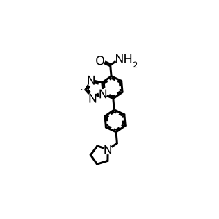 NC(=O)c1ccc(-c2ccc(CN3CCCC3)cc2)n2n[c]nc12